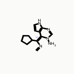 C=N/C(=C1/c2cc[nH]c2N=CN1N)C1CCCC1